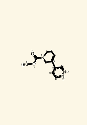 CC(C)(C)OC(=O)N1CCC=C(c2ccnnc2)C1